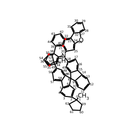 CC1(c2ccc3c(c2)C2(c4ccccc4-c4ccc(N(c5ccc6c(c5)oc5ccccc56)c5ccccc5-c5ccccc5)cc42)c2cc(C4(C)CCCC4)ccc2-3)CCCC1